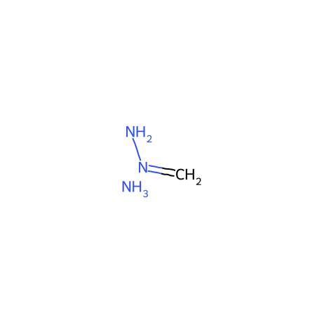 C=NN.N